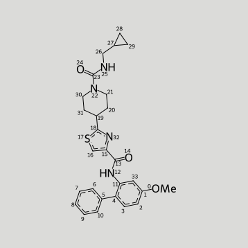 COc1ccc(-c2ccccc2)c(NC(=O)c2csc(C3CCN(C(=O)NCC4CC4)CC3)n2)c1